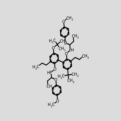 CCCc1cc(OC(C)(C)C)cc(-c2cc(C(C)(C)C)cc(CCC)c2OPC(CC)Oc2ccc(OC)cc2)c1OPC(CC)Oc1ccc(OC)cc1